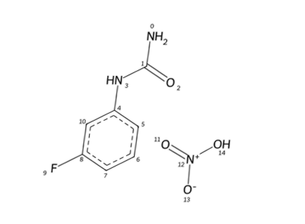 NC(=O)Nc1cccc(F)c1.O=[N+]([O-])O